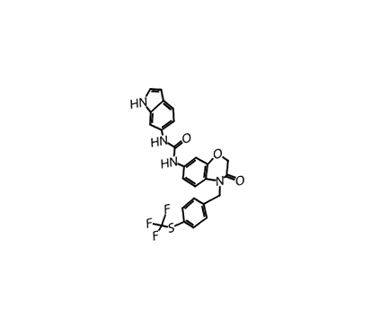 O=C(Nc1ccc2c(c1)OCC(=O)N2Cc1ccc(SC(F)(F)F)cc1)Nc1ccc2cc[nH]c2c1